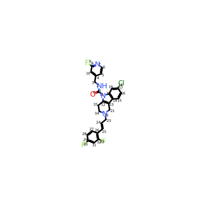 O=C(NCc1ccnc(F)c1)n1c2c(c3ccc(Cl)cc31)CN(CC=Cc1ccc(F)cc1F)CC2